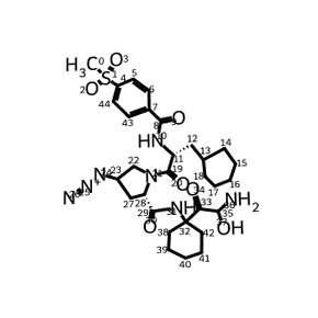 CS(=O)(=O)c1ccc(C(=O)N[C@H](CC2CCCCC2)C(=O)N2CC(N=[N+]=[N-])C[C@H]2C(=O)NC2(C(=O)C(N)O)CCCCC2)cc1